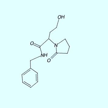 O=C(NCc1ccccc1)C(CCO)N1CCCC1=O